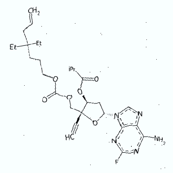 C#C[C@]1(COC(=O)OCCCC(CC)(CC)CC=C)O[C@@H](n2cnc3c(N)nc(F)nc32)C[C@@H]1OC(=O)C(C)C